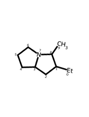 CCC1CC2CCCN2C1C